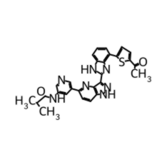 CC(=O)c1ccc(-c2cccc3[nH]c(-c4n[nH]c5ccc(-c6cncc(NC(=O)C(C)C)c6)nc45)nc23)s1